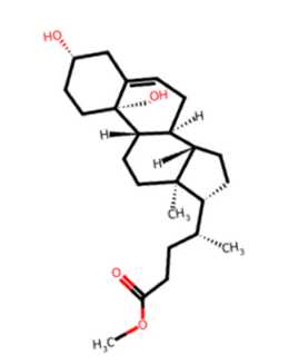 COC(=O)CC[C@@H](C)[C@H]1CC[C@H]2[C@@H]3CC=C4C[C@@H](O)CC[C@]4(CO)[C@H]3CC[C@]12C